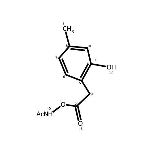 CC(=O)NOC(=O)Cc1ccc(C)cc1O